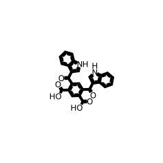 O=C(O)c1cc(C(=O)O)c(C(=O)c2c[nH]c3ccccc23)cc1C(=O)c1c[nH]c2ccccc12